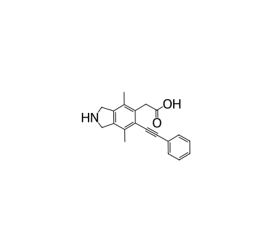 Cc1c(C#Cc2ccccc2)c(CC(=O)O)c(C)c2c1CNC2